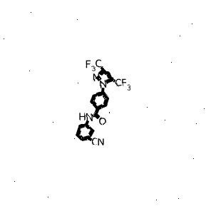 N#Cc1cccc(NC(=O)c2ccc(-n3nc(C(F)(F)F)cc3C(F)(F)F)cc2)c1